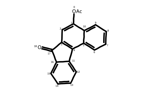 CC(=O)Oc1cc2c(c3ccccc13)-c1ccccc1C2=O